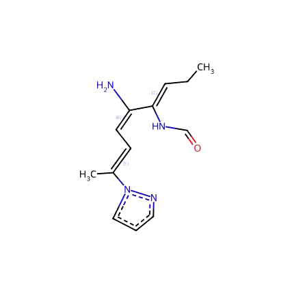 CC/C=C(NC=O)/C(N)=C\C=C(/C)n1cccn1